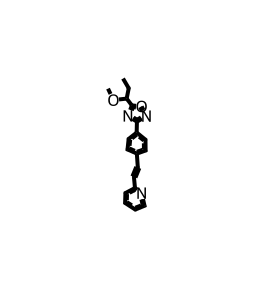 CCC(OC)c1nc(-c2ccc(C#Cc3ccccn3)cc2)no1